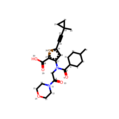 CC1CCC(C(=O)N(CC(=O)N2CCOCC2)c2cc(C#CC3(C)CC3)sc2C(=O)O)CC1